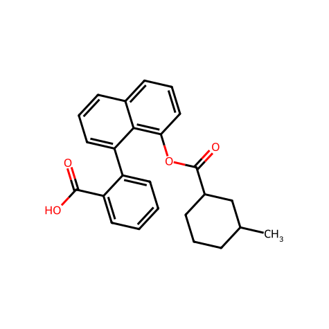 CC1CCCC(C(=O)Oc2cccc3cccc(-c4ccccc4C(=O)O)c23)C1